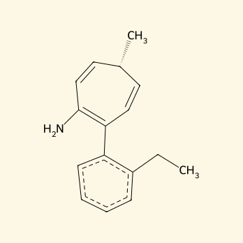 CCc1ccccc1C1=C(N)C=C[C@H](C)C=C1